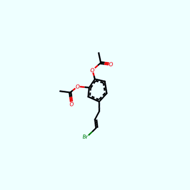 CC(=O)Oc1ccc(CC=CBr)cc1OC(C)=O